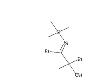 CCC(=N[Si](C)(C)C)C(C)(O)CC